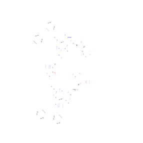 CCC(=O)NC1C[C@@H](n2cnc3c(NCC(c4ccccc4)c4ccccc4)nc(N4CCC(NC(=O)N[C@@H]5CCN(c6nc(NCC(c7ccccc7)c7ccccc7)c7ncn([C@@H]8C[C@H](NC(=O)CC)[C@@H](O)[C@H]8O)c7n6)C5)C4)nc32)[C@H](O)[C@@H]1O